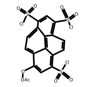 CC(=O)OOc1cc(S(=O)(=O)Cl)c2ccc3c(S(=O)(=O)Cl)cc(S(=O)(=O)Cl)c4ccc1c2c43